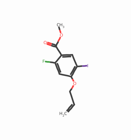 C=CCOc1cc(F)c(C(=O)OC)cc1I